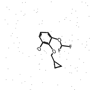 [O]c1cccc(OC(F)F)c1OCC1CC1